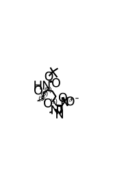 CO[C@@H]1[C@H](C)O[C@H](c2c([N+](=O)[O-])cnn2C)CC[C@H]1NC(=O)OC(C)(C)C